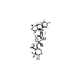 CC1(C)NCCc2c1csc2S(=O)(=O)NC(=O)Nc1c2c(cc3c1CCC3)CCC2